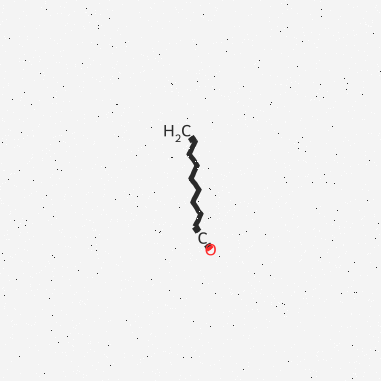 C=CCCCCCCC=C=O